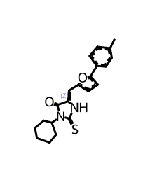 Cc1ccc(-c2ccc(/C=C3\NC(=S)N(C4CCCCC4)C3=O)o2)cc1